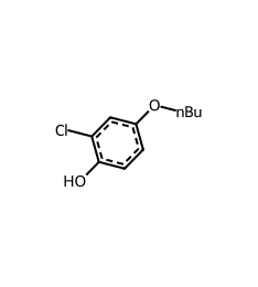 CCCCOc1ccc(O)c(Cl)c1